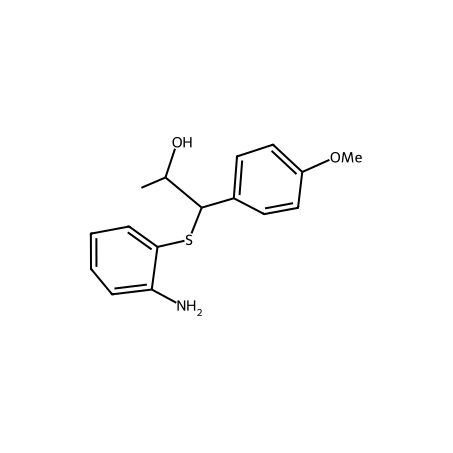 COc1ccc(C(Sc2ccccc2N)C(C)O)cc1